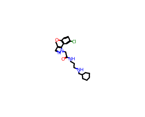 O=C(Cn1ncc2c1-c1cc(Cl)ccc1OC2)NCCCNCC1CCCCC1